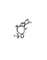 C[C@H]1Nc2nc(nc3cnc(Cl)cc23)C2(CCOc3c1cccc3C(F)(F)F)CC2